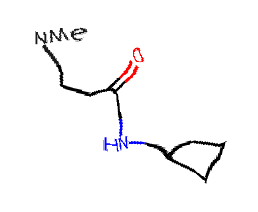 CNCC(=O)NC1CC1